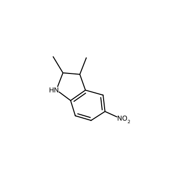 CC1Nc2ccc([N+](=O)[O-])cc2C1C